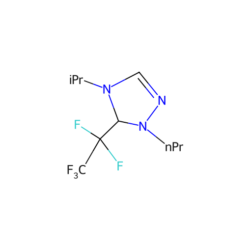 CCCN1N=CN(C(C)C)C1C(F)(F)C(F)(F)F